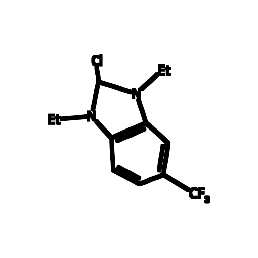 CCN1c2ccc(C(F)(F)F)cc2N(CC)C1Cl